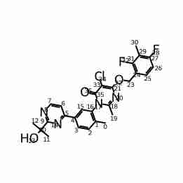 Cc1ccc(-c2ccnc(C(C)(C)O)n2)cc1-n1c(C)nc(OCc2ccc(F)c(C)c2F)c(Cl)c1=O